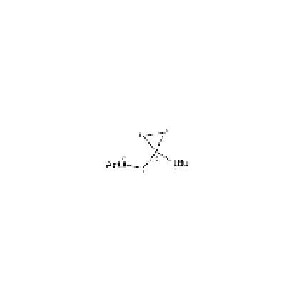 CC(=O)OCC1(C(C)(C)C)CC1